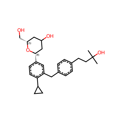 CC(C)(O)CCc1ccc(Cc2cc([C@H]3CC(O)C[C@@H](CO)O3)ccc2C2CC2)cc1